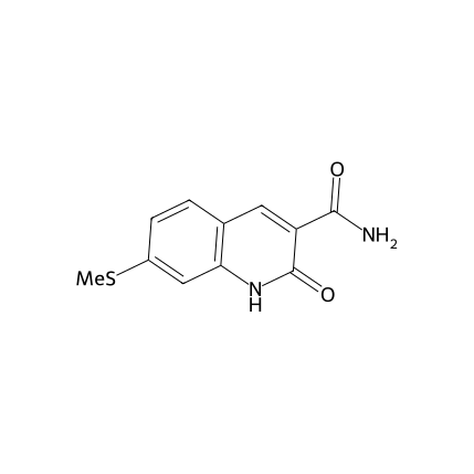 CSc1ccc2cc(C(N)=O)c(=O)[nH]c2c1